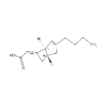 CCCCC1=C[C@@H]2C(=CC(=O)O)C[C@H]2C1